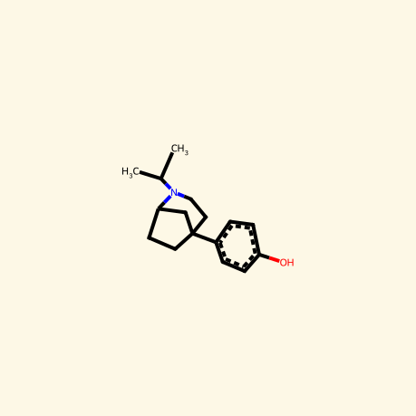 CC(C)N1CCC2(c3ccc(O)cc3)CCC1C2